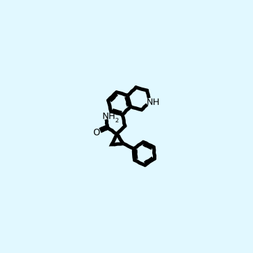 NC(=O)C1(Cc2cccc3c2CNCC3)CC1c1ccccc1